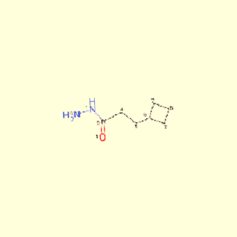 NNC(=O)CCC1CCC1